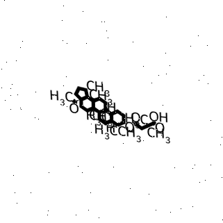 CC(=O)[C@]12CC[C@@H](C)C1[C@@]1(C)CC[C@H]3C(CC[C@H]4C(C)(C)[C@@H](OC(=O)CC(C)(C)C(=O)O)CC[C@]34C)[C@]1(C)CC2